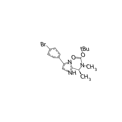 C[C@@H](c1nc(-c2ccc(Br)cc2)c[nH]1)N(C)C(=O)OC(C)(C)C